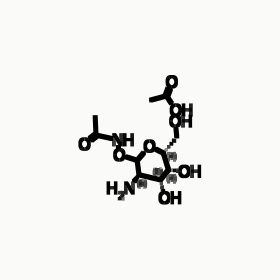 CC(=O)NOC1O[C@H](CO)[C@H](O)[C@H](O)[C@H]1N.CC(=O)O